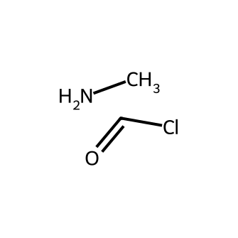 CN.O=CCl